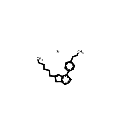 CCCCCCC1=Cc2c(cccc2-c2ccc(CCC)cc2)[CH]1.[Zr]